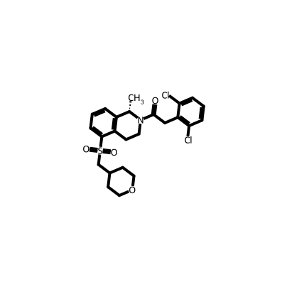 C[C@H]1c2cccc(S(=O)(=O)CC3CCOCC3)c2CCN1C(=O)Cc1c(Cl)cccc1Cl